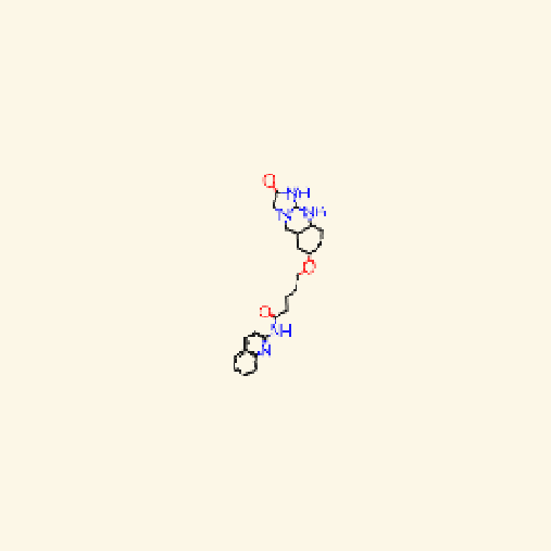 O=C(CCCCOC1CCC2NC3NC(=O)CN3CC2C1)Nc1ccc2ccccc2n1